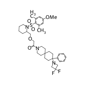 COc1cc(C)c(S(=O)(=O)N2CCCCC2COCC(=O)N2CCC3(CC2)CCC(c2ccccc2)(N2CC(F)(F)C2)CC3)c(C)c1